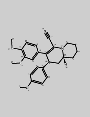 COc1ccc([C@@H]2C[C@H]3CCCCN3C(C#N)=C2c2ccc(OC)c(OC)c2)cc1